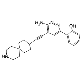 Nc1nnc(-c2ccccc2O)cc1C#CC1CCC2(CCNCC2)CC1